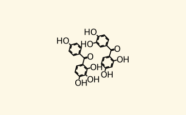 O=C(c1ccc(O)c(O)c1)c1ccc(O)cc1O.O=C(c1ccc(O)cc1)c1ccc(O)c(O)c1O